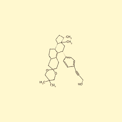 C[C@H]1CCC2C3CCC4CC5(CCC4=C3[C@@H](c3ccc(C#CCO)cc3)CC21C)OCC(C)(C)CO5